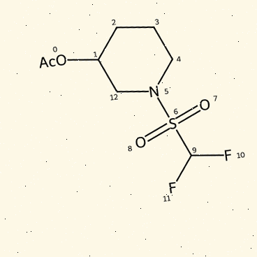 CC(=O)OC1CCCN(S(=O)(=O)C(F)F)C1